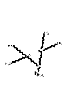 CCCCCCCCCCN(CCCCCCCCCC)C(=O)CCCCCCCN(CCCCCCCC(=O)N(CCCCCCCCCC)CCCCCCCCCC)CCCn1ccnc1C